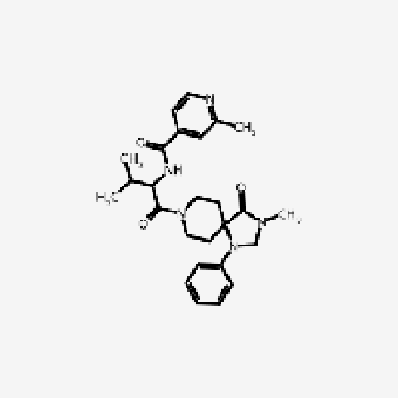 Cc1cc(C(=O)NC(C(=O)N2CCC3(CC2)C(=O)N(C)CN3c2ccccc2)C(C)C)ccn1